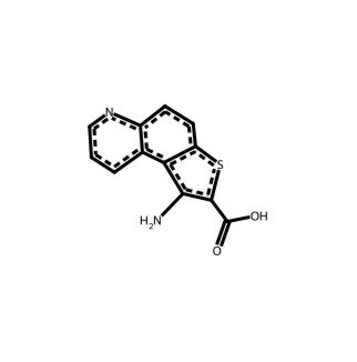 Nc1c(C(=O)O)sc2ccc3ncccc3c12